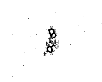 O=c1[nH]c(CN2CCc3ccccc32)nc2cc(F)ccc12